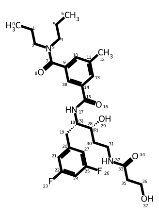 CCCN(CCC)C(=O)c1cc(C)cc(C(=O)N[C@@H](Cc2cc(F)cc(F)c2)[C@H](O)CCNC(=O)CCO)c1